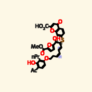 CCCc1c(OCC/C=C\C=C\[C@H](Sc2ccc3c(=O)cc(C(=O)O)oc3c2)[C@H](O)c2ccc(C(=O)OC)o2)ccc(C(C)=O)c1O